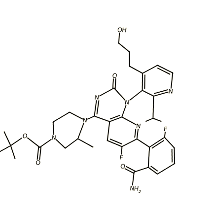 CC(C)c1nccc(CCCO)c1-n1c(=O)nc(N2CCN(C(=O)OC(C)(C)C)CC2C)c2cc(F)c(-c3c(F)cccc3C(N)=O)nc21